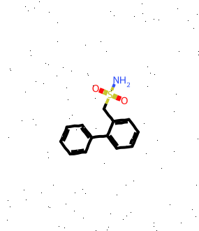 NS(=O)(=O)Cc1ccccc1-c1ccccc1